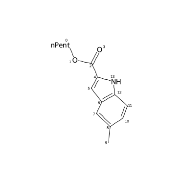 CCCCCOC(=O)c1cc2cc(C)ccc2[nH]1